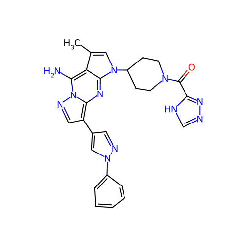 Cc1cn(C2CCN(C(=O)c3nnc[nH]3)CC2)c2nc3c(-c4cnn(-c5ccccc5)c4)cnn3c(N)c12